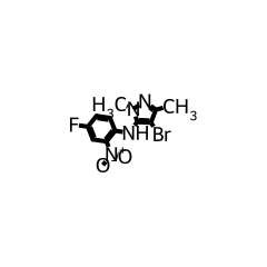 Cc1nn(C)c(Nc2ccc(F)cc2[N+](=O)[O-])c1Br